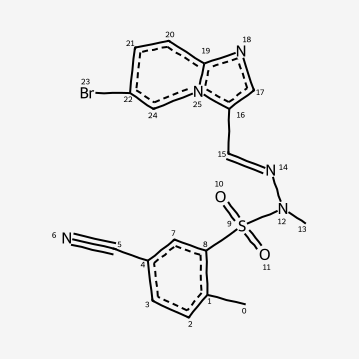 Cc1ccc(C#N)cc1S(=O)(=O)N(C)N=Cc1cnc2ccc(Br)cn12